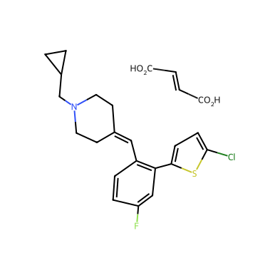 Fc1ccc(C=C2CCN(CC3CC3)CC2)c(-c2ccc(Cl)s2)c1.O=C(O)/C=C/C(=O)O